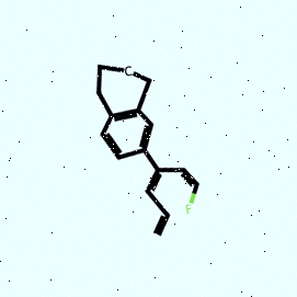 C=C/C=C(\C=C/F)c1ccc2c(c1)CCCC2